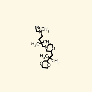 CN(CCC(C)(C)CN1CCOC(CC(C)(C)C2COCCO2)C1)CC(C)(C)C